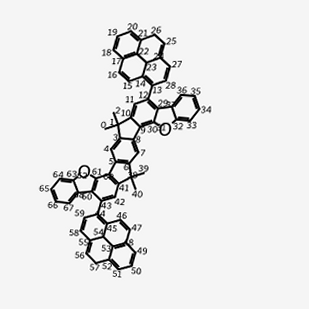 CC1(C)c2cc3c(cc2-c2c1cc(C1=C4C=Cc5cccc6c5C4C(=CC6)C=C1)c1c2oc2ccccc21)C(C)(C)c1cc(C2=C4C=Cc5cccc6c5C4C(=CC6)C=C2)c2c(oc4ccccc42)c1-3